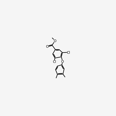 COC(=O)c1cc(Cl)c(Oc2ccc(C)c(C)c2)c(Cl)c1